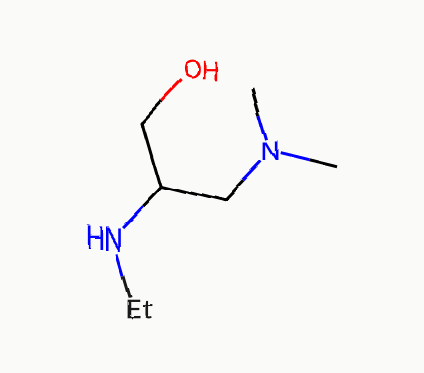 CCNC(CO)CN(C)C